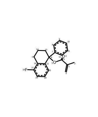 C=C(C)C(=O)OC1(c2ccccc2)CCCc2c(F)cccc21